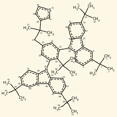 CC(C)(C)c1ccc2c(c1)c1cc(C(C)(C)C)ccc1n2-c1cc(CC(C)(C)c2ccsc2)cc(-n2c3ccc(C(C)(C)C)cc3c3cc(C(C)(C)C)ccc32)c1C(C)(C)C